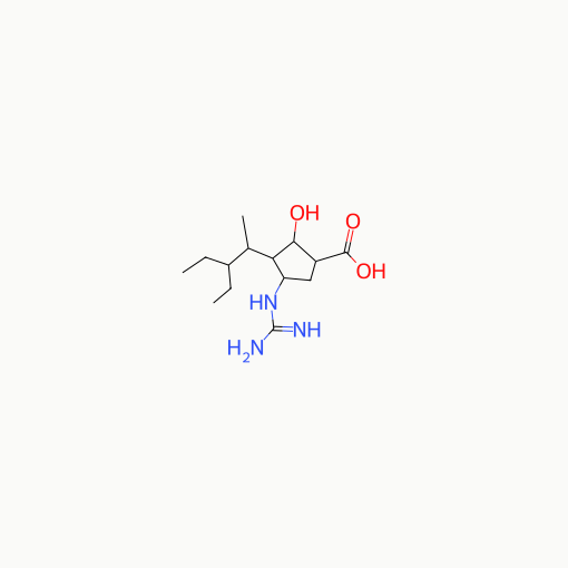 CCC(CC)C(C)C1C(NC(=N)N)CC(C(=O)O)C1O